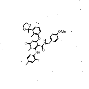 COc1ccc(CNC(=O)c2c(Oc3cccc(C4(C)OCCO4)c3C)cc(=O)n(C)c2Nc2ccc(I)cc2F)cc1